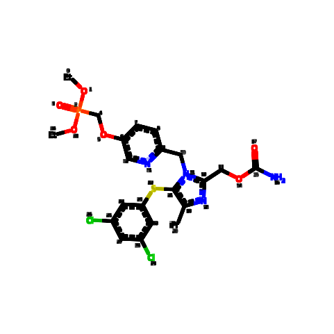 CCOP(=O)(COc1ccc(Cn2c(COC(N)=O)nc(C(C)C)c2Sc2cc(Cl)cc(Cl)c2)nc1)OCC